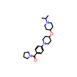 CC(C)N1CCC(OC2CCN(c3ccc(C(=O)N4CCCC4)cc3)CC2)CC1